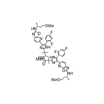 COCC[C@H](C)Nc1nc2ccc(-c3nc(C(C)(CC(O)C(C)(C)c4nc(-c5ccc6nc(N[C@@H](C)CCOC)oc6n5)c(-c5ccc(F)cc5F)[nH]4)C(=O)OC)[nH]c3-c3ccc(F)cc3F)nc2o1